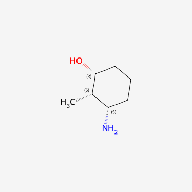 C[C@@H]1[C@H](O)CCC[C@@H]1N